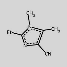 CCc1nc(C#N)c(C)n1C